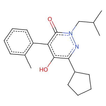 Cc1ccccc1-c1c(O)c(C2CCCC2)nn(CC(C)C)c1=O